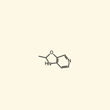 CC1Nc2ccncc2O1